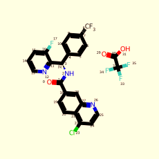 O=C(N[C@@H](c1ccc(C(F)(F)F)cc1)c1ncccc1F)c1ccc2c(Cl)ccnc2c1.O=C(O)C(F)(F)F